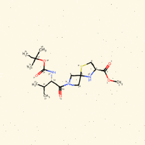 COC(=O)[C@@H]1CSC2(CN(C(=O)[C@@H](NC(=O)OC(C)(C)C)C(C)C)C2)N1